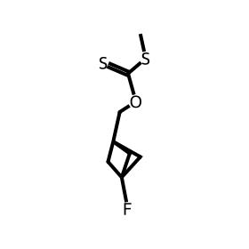 CSC(=S)OCC12CC(F)(C1)C2